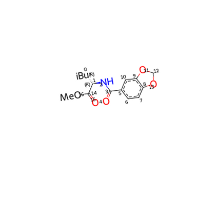 CC[C@@H](C)[C@@H](NC(=O)c1ccc2c(c1)OCO2)C(=O)OC